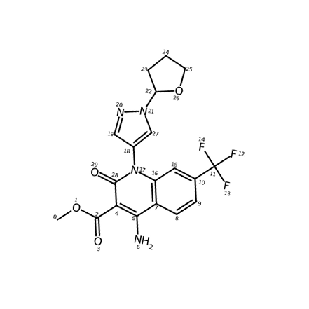 COC(=O)c1c(N)c2ccc(C(F)(F)F)cc2n(-c2cnn(C3CCCO3)c2)c1=O